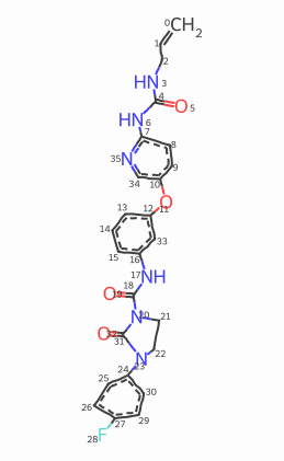 C=CCNC(=O)Nc1ccc(Oc2cccc(NC(=O)N3CCN(c4ccc(F)cc4)C3=O)c2)cn1